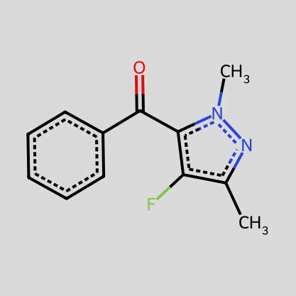 Cc1nn(C)c(C(=O)c2ccccc2)c1F